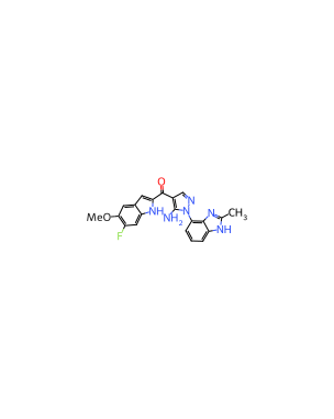 COc1cc2cc(C(=O)c3cnn(-c4cccc5[nH]c(C)nc45)c3N)[nH]c2cc1F